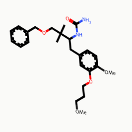 COCCCOc1cc(CC(NC(N)=O)C(C)(C)COCc2ccccc2)ccc1OC